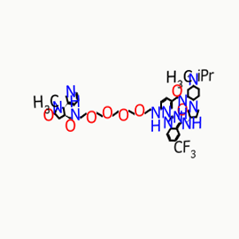 CC(C)N(C)[C@@H]1CC[C@H](N2CC[C@H](Nc3ncnc4ccc(C(F)(F)F)cc34)C2=O)[C@H](NC(=O)c2ccc(NCCOCCOCCOCCOCCNC(=O)[C@H]3CC(=O)N(C)[C@@H]3c3cccnc3)nc2)C1